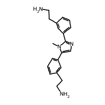 Cn1c(-c2cccc(CCN)c2)cnc1-c1cccc(CCN)c1